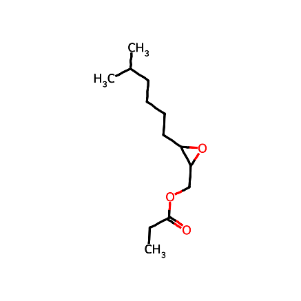 CCC(=O)OCC1OC1CCCCC(C)C